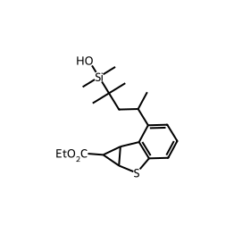 CCOC(=O)C1C2Sc3cccc(C(C)CC(C)(C)[Si](C)(C)O)c3C21